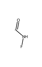 O=[C]NF